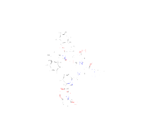 CC(C)(C)NC(=O)C1CN(Cc2cccc(C(=O)ON3C(=O)CCC3=O)n2)CCN1CC(O)CC(Cc1ccccc1)C(=O)N(O)C1CCc2ccccc21